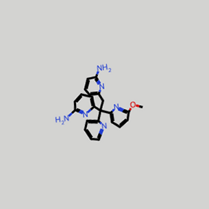 COc1cccc(C(Cc2cccc(N)n2)(c2ccccn2)c2cccc(N)n2)n1